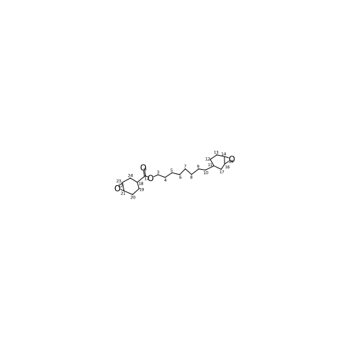 O=C(OCCCCCCCCC1CCC2OC2C1)C1CCC2OC2C1